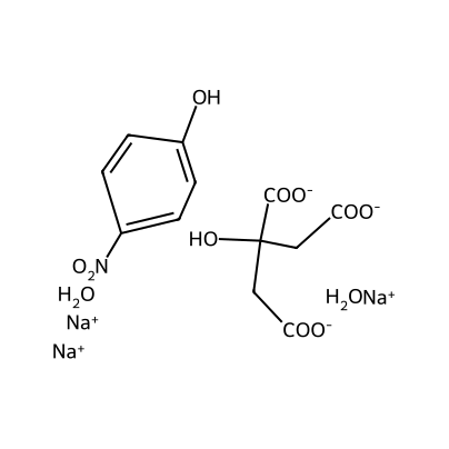 O.O.O=C([O-])CC(O)(CC(=O)[O-])C(=O)[O-].O=[N+]([O-])c1ccc(O)cc1.[Na+].[Na+].[Na+]